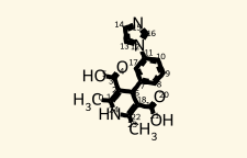 CC1=C(C(=O)O)C(c2cccc(-n3ccnc3)c2)C(C(=O)O)=C(C)N1